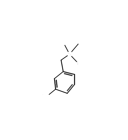 CC[N+](CC)(CC)Cc1cccc(C(F)(F)F)c1.[Cl-]